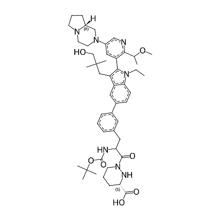 CCn1c(-c2cc(N3CCN4CCC[C@@H]4C3)cnc2C(C)OC)c(CC(C)(C)CO)c2cc(-c3cccc(CC(NC(=O)OC(C)(C)C)C(=O)N4CCC[C@@H](C(=O)O)N4)c3)ccc21